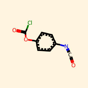 O=C=Nc1ccc(OC(=O)Cl)cc1